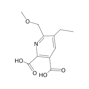 CCc1cc(C(=O)O)c(C(=O)O)nc1COC